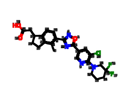 Cc1c(-c2noc(-c3cnc(N4CCCC(F)(F)C4)c(Cl)c3)n2)ccc2c1CCC2CC(=O)O